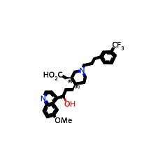 COc1ccc2nccc([C@H](O)CC[C@@H]3CCN(CCCc4cccc(C(F)(F)F)c4)C[C@@H]3CC(=O)O)c2c1